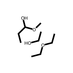 CCC(O)OC.CCO.CCOCC